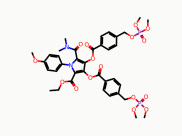 CCOC(=O)c1c(OC(=O)c2ccc(COP(=O)(OC)OC)cc2)c(OC(=O)c2ccc(COP(=O)(OC)OC)cc2)c(C(=O)N(C)C)n1-c1ccc(OC)cc1